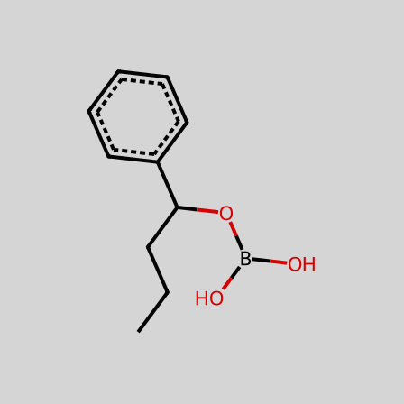 CCCC(OB(O)O)c1ccccc1